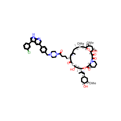 CO[C@H]1C[C@@H](C)C/C(C)=C/[C@@H](CCCC(=O)N2CCN(Cc3ccc(-c4cnc5[nH]cc(-c6cccc(Cl)c6)c5c4)cc3)CC2)C(=O)C[C@H](O)[C@@H](C)[C@@H](/C(C)=C/[C@@H]2CC[C@@H](O)[C@H](OC)C2)OC(=O)[C@@H]2CCCCN2C(=O)C(=O)[C@]2(O)O[C@H]1[C@@H](OC)C[C@H]2C